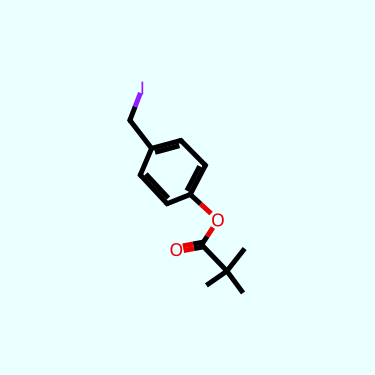 CC(C)(C)C(=O)Oc1ccc(CI)cc1